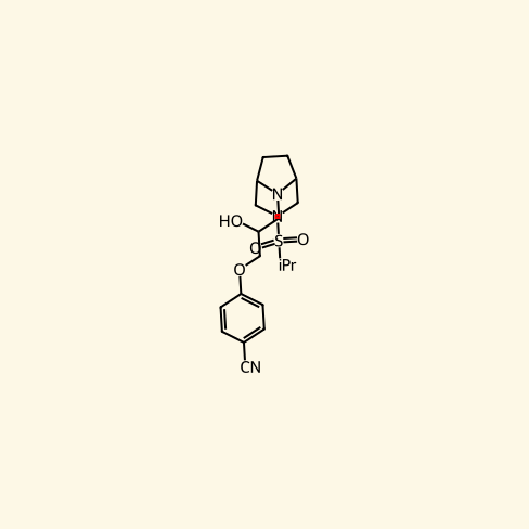 CC(C)S(=O)(=O)N1CC2CCC(C1)N2CC(O)COc1ccc(C#N)cc1